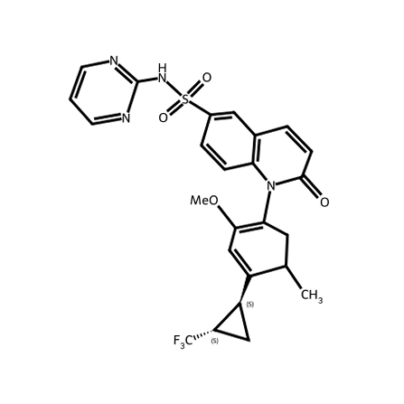 COC1=C(n2c(=O)ccc3cc(S(=O)(=O)Nc4ncccn4)ccc32)CC(C)C([C@H]2C[C@@H]2C(F)(F)F)=C1